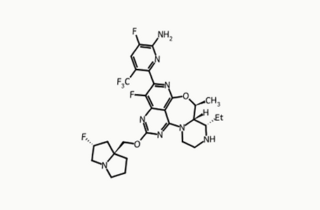 CC[C@@H]1NCCN2c3nc(OC[C@@]45CCCN4C[C@H](F)C5)nc4c(F)c(-c5nc(N)c(F)cc5C(F)(F)F)nc(c34)O[C@@H](C)[C@H]12